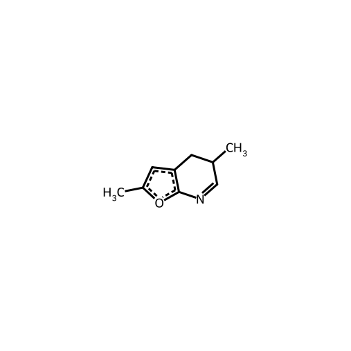 Cc1cc2c(o1)N=CC(C)C2